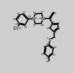 C=C(C1=CC=C(CSc2ccc(C)cc2)C1)N1CCN(c2cccc(CC)c2)CC1